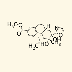 C=CC[C@@]12C[C@@](C)(O)[C@@](O)(c3ncco3)C[C@H]1CCc1cc(C(=O)OC)ccc12